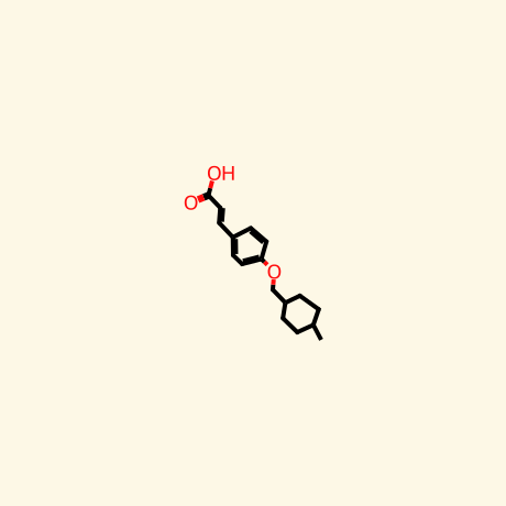 CC1CCC(COc2ccc(C=CC(=O)O)cc2)CC1